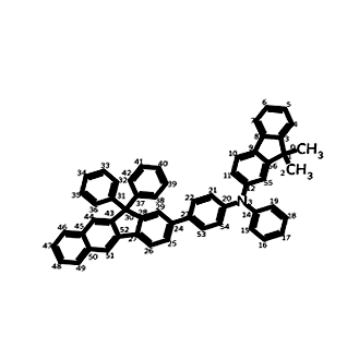 CC1(C)c2ccccc2-c2ccc(N(c3ccccc3)c3ccc(-c4ccc5c(c4)C(c4ccccc4)(c4ccccc4)c4cc6ccccc6cc4-5)cc3)cc21